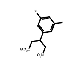 CCOC(=O)CC(C[N+](=O)[O-])c1cc(F)cc(I)c1